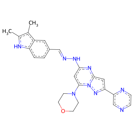 Cc1[nH]c2ccc(/C=N/Nc3cc(N4CCOCC4)n4nc(-c5cnccn5)cc4n3)cc2c1C